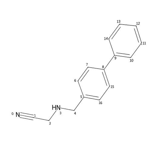 N#CCNCc1ccc(-c2c[c]ccc2)cc1